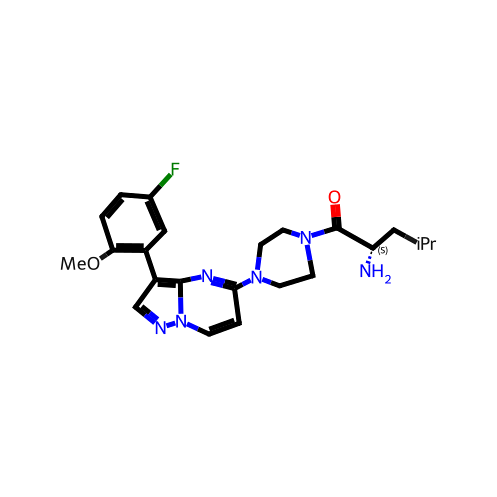 COc1ccc(F)cc1-c1cnn2ccc(N3CCN(C(=O)[C@@H](N)CC(C)C)CC3)nc12